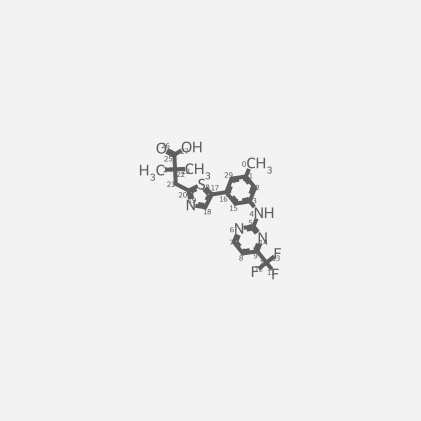 Cc1cc(Nc2nccc(C(F)(F)F)n2)cc(-c2cnc(CC(C)(C)C(=O)O)s2)c1